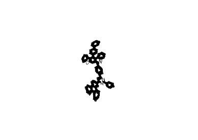 c1ccc(-c2ccc(-c3c4c(cc5c(-c6ccc(-c7cc(-c8ccc9c%10ccccc%10c%10ccccc%10c9c8)nc(-c8ccccc8)n7)cc6)nc6ccccc6c35)oc3ccccc34)cc2)cc1